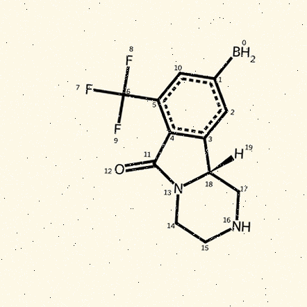 Bc1cc2c(c(C(F)(F)F)c1)C(=O)N1CCNC[C@@H]21